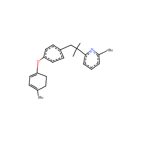 CC(C)(C)C1=CC=C(Oc2ccc(CC(C)(C)c3cccc(C(C)(C)C)n3)cc2)CC1